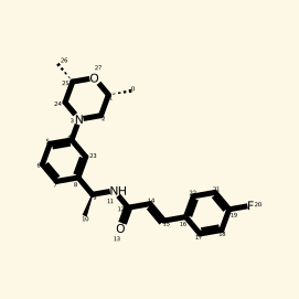 C[C@@H]1CN(c2cccc([C@H](C)NC(=O)C=Cc3ccc(F)cc3)c2)C[C@H](C)O1